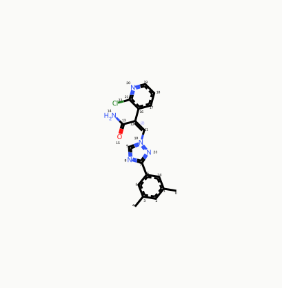 Cc1cc(C)cc(-c2ncn(/C=C(\C(N)=O)c3cccnc3Cl)n2)c1